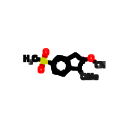 COC1B(OC#N)Cc2cc(S(C)(=O)=O)ccc21